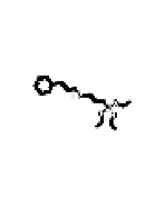 CCO[Si](CC=CNCC=Cc1ccccc1)(OCC)OCC